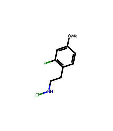 COc1ccc(CCNCl)c(F)c1